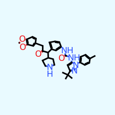 Cc1ccc(-n2nc(C(C)(C)C)cc2NC(=O)Nc2cccc(C(C(=O)Cc3ccc4c(c3)OCO4)C3CCNCC3)c2)cc1